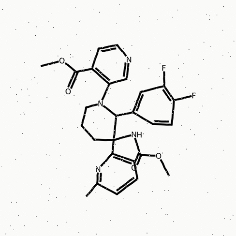 COC(=O)NC1(c2cccc(C)n2)CCCN(c2cnccc2C(=O)OC)C1c1ccc(F)c(F)c1